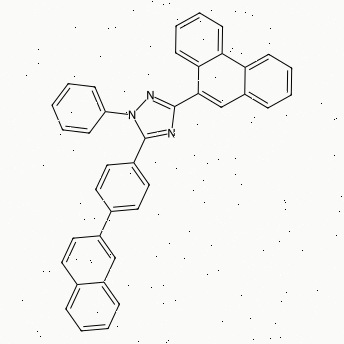 c1ccc(-n2nc(-c3cc4ccccc4c4ccccc34)nc2-c2ccc(-c3ccc4ccccc4c3)cc2)cc1